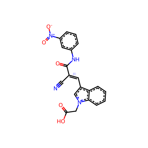 N#C/C(=C\c1cn(CC(=O)O)c2ccccc12)C(=O)Nc1cccc([N+](=O)[O-])c1